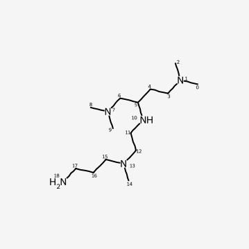 CN(C)CCC(CN(C)C)NCCN(C)CCCN